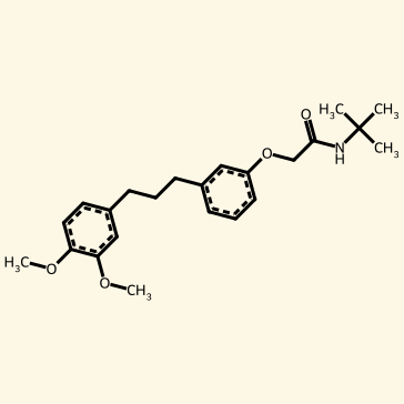 COc1ccc(CCCc2cccc(OCC(=O)NC(C)(C)C)c2)cc1OC